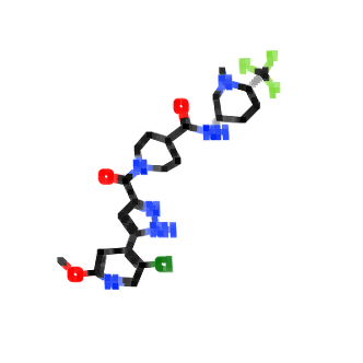 COc1cc(-c2cc(C(=O)N3CCC(C(=O)N[C@H]4CC[C@@H](C(F)(F)F)N(C)C4)CC3)n[nH]2)c(Cl)cn1